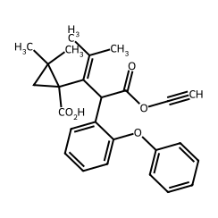 C#COC(=O)C(C(=C(C)C)C1(C(=O)O)CC1(C)C)c1ccccc1Oc1ccccc1